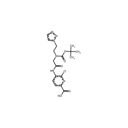 CC(C)(C)OC(=O)N(CCn1ccnn1)CC(=O)Nc1ccc(C(=O)O)nc1Cl